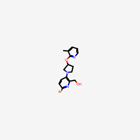 Cc1cccnc1OC1CCN(c2ccc(Br)nc2CO)C1